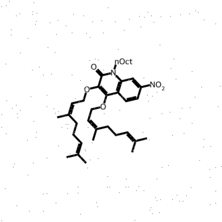 CCCCCCCCn1c(=O)c(OCC=C(C)CCC=C(C)C)c(OCC=C(C)CCC=C(C)C)c2ccc([N+](=O)[O-])cc21